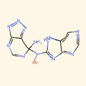 NC1(N(O)c2nc3ncncc3[nH]2)N=CN=C2N=NN=C21